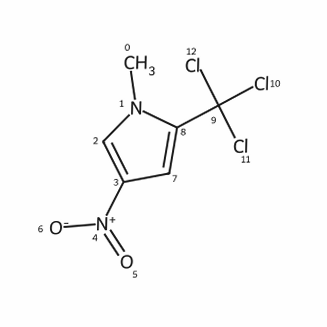 Cn1cc([N+](=O)[O-])cc1C(Cl)(Cl)Cl